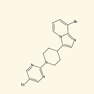 CCc1cnc(N2CCC(c3cnc4c(Br)cccn34)CC2)nc1